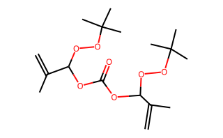 C=C(C)C(OOC(C)(C)C)OC(=O)OC(OOC(C)(C)C)C(=C)C